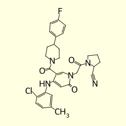 Cc1ccc(Cl)c(Nc2cc(=O)n(CC(=O)N3CCCC3C#N)cc2C(=O)N2CCC(c3ccc(F)cc3)CC2)c1